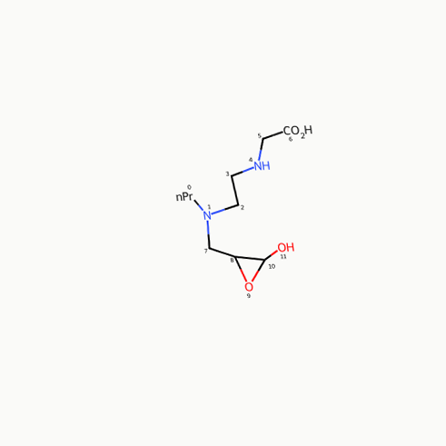 CCCN(CCNCC(=O)O)CC1OC1O